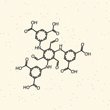 O=Cc1c(Nc2cc(C(=O)O)cc(C(=O)O)c2)c(C=O)c(Nc2cc(C(=O)O)cc(C(=O)O)c2)c(C=O)c1Nc1cc(C(=O)O)cc(C(=O)O)c1